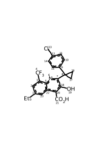 CCc1cc(C(F)(F)F)c2nc(C3(c4ccc(Cl)cc4)CC3)c(O)c(C(=O)O)c2c1